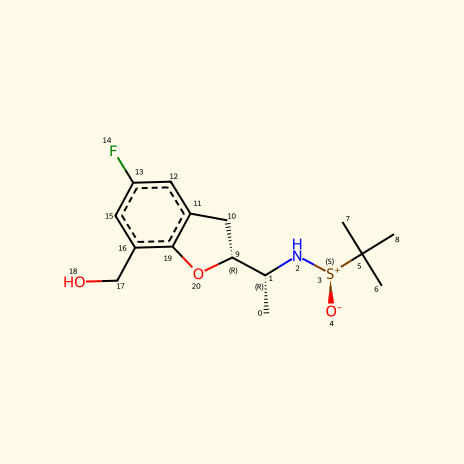 C[C@@H](N[S@+]([O-])C(C)(C)C)[C@H]1Cc2cc(F)cc(CO)c2O1